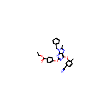 CCOC(=O)c1ccc(Oc2nc(Oc3cc(C#N)ccc3C)c3nc(C)n(Cc4ccccc4)c3n2)cc1